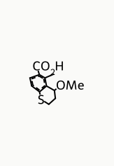 COC1CCSc2ccc(C(=O)O)c(C)c21